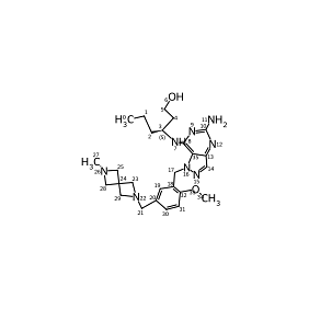 CCC[C@@H](CCO)Nc1nc(N)nc2cnn(Cc3cc(CN4CC5(CN(C)C5)C4)ccc3OC)c12